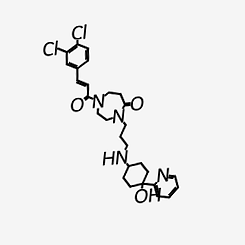 O=C(C=Cc1ccc(Cl)c(Cl)c1)N1CCC(=O)N(CCCNC2CCC(O)(c3ccccn3)CC2)CC1